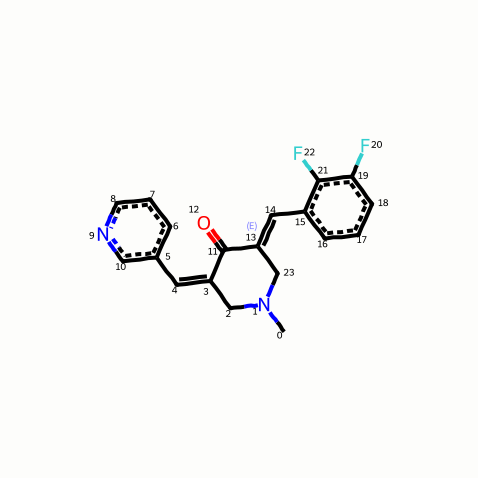 CN1CC(=Cc2cccnc2)C(=O)/C(=C/c2cccc(F)c2F)C1